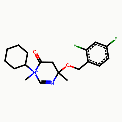 CC1(OCc2ccc(F)cc2F)CC(=O)[N+](C)(C2CCCCC2)C=N1